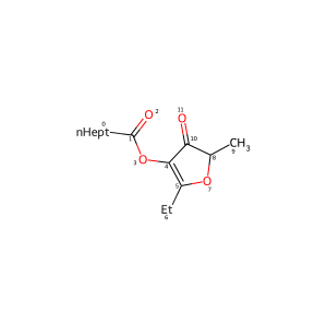 CCCCCCCC(=O)OC1=C(CC)OC(C)C1=O